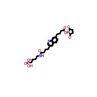 O=C(CCCc1cnc2cc(CCCC(=O)ON3C(=O)CCC3=O)ccc2c1)NCCCCP(=O)(O)O